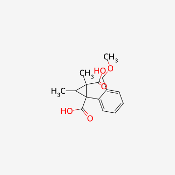 COCc1ccccc1C1(C(=O)O)C(C)C1(C)C(=O)O